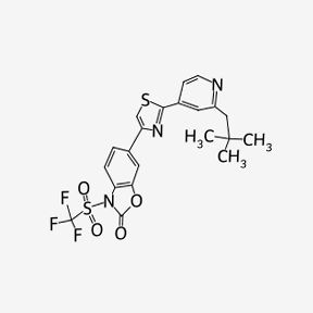 CC(C)(C)Cc1cc(-c2nc(-c3ccc4c(c3)oc(=O)n4S(=O)(=O)C(F)(F)F)cs2)ccn1